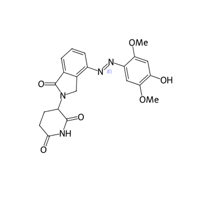 COc1cc(/N=N/c2cccc3c2CN(C2CCC(=O)NC2=O)C3=O)c(OC)cc1O